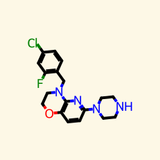 Fc1cc(Cl)ccc1CN1CCOc2ccc(N3CCNCC3)nc21